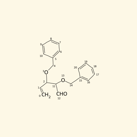 C=CC(OCc1ccccc1)C(C=O)OCc1ccccc1